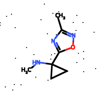 CNC1(c2nc(C)no2)CC1